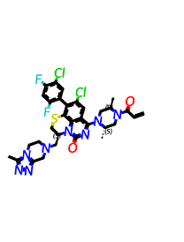 C=CC(=O)N1C[C@H](C)N(c2nc(=O)n3c4c(c(-c5cc(Cl)c(F)cc5F)c(Cl)cc24)SC[C@@H]3CN2CCn3c(C)nnc3C2)C[C@H]1C